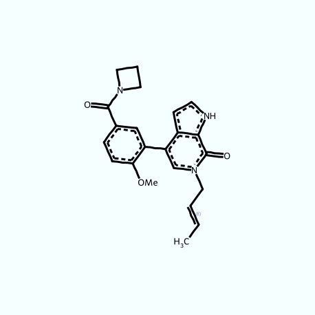 C/C=C/Cn1cc(-c2cc(C(=O)N3CCC3)ccc2OC)c2cc[nH]c2c1=O